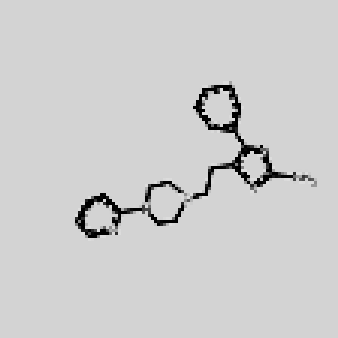 Nc1nc(-c2ccccc2)c(CCN2CCN(c3ccccn3)CC2)s1